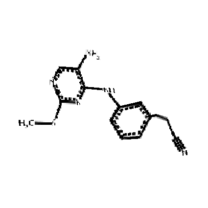 CSc1ncc(N)c(Nc2cccc(CC#N)c2)n1